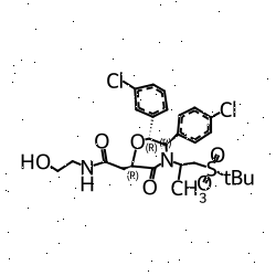 CC(CS(=O)(=O)C(C)(C)C)N1C(=O)[C@@H](CC(=O)NCCO)O[C@H](c2cccc(Cl)c2)[C@H]1c1ccc(Cl)cc1